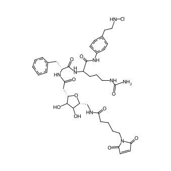 NC(=O)NCCCC(NC(=O)[C@@H](Cc1ccccc1)NC(=O)C[C@@H]1O[C@H](CNC(=O)CCCCN2C(=O)C=CC2=O)C(O)C1O)C(=O)Nc1ccc(CCNCl)cc1